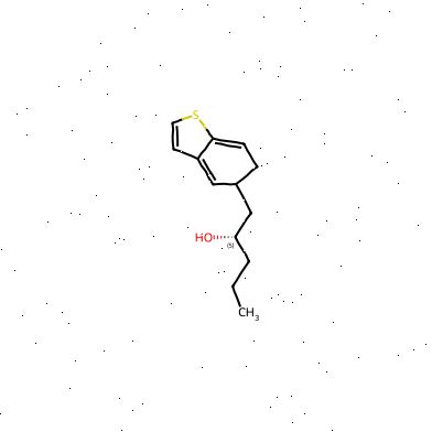 CCC[C@H](O)CC1C=c2ccsc2=CC1